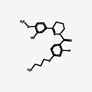 COc1ccc(C2=NN(C(=O)c3ccc(OCCCN)cc3F)CCC2)cc1O